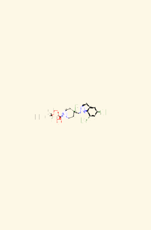 CC(C)(C)OC(=O)N1CCC(F)(Cn2ccc3cc(Cl)cc(Br)c32)CC1